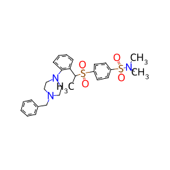 CC(c1ccccc1N1CCN(Cc2ccccc2)CC1)S(=O)(=O)c1ccc(S(=O)(=O)N(C)C)cc1